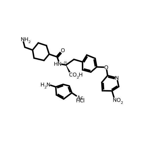 CC(=O)c1ccc(N)cc1.Cl.NCC1CCC(C(=O)N[C@@H](Cc2ccc(Oc3ccc([N+](=O)[O-])cn3)cc2)C(=O)O)CC1